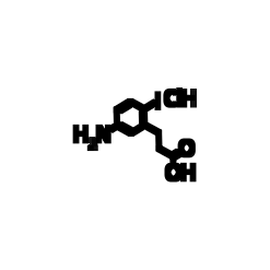 Cl.Nc1ccc(I)c(CCC(=O)O)c1